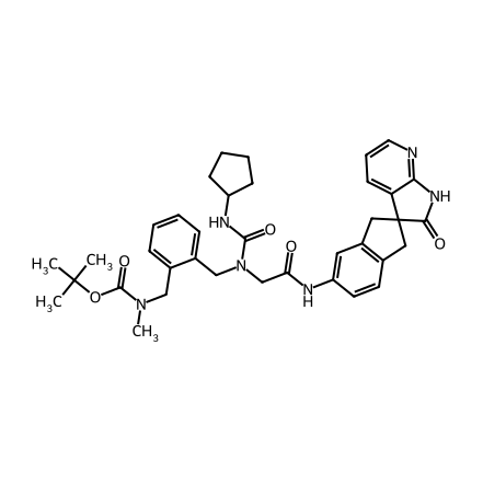 CN(Cc1ccccc1CN(CC(=O)Nc1ccc2c(c1)CC1(C2)C(=O)Nc2ncccc21)C(=O)NC1CCCC1)C(=O)OC(C)(C)C